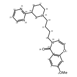 COc1ccc2c(c1)OC=CN(CCCCN1CCCC(c3ncccn3)C1)C2=O